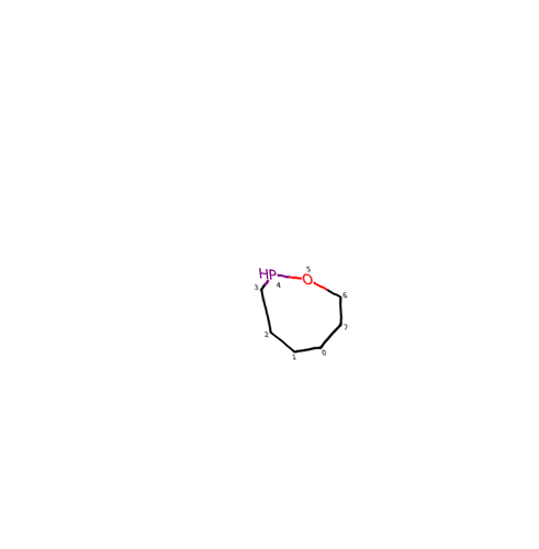 C1CCCPOCC1